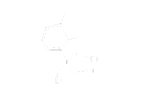 CCO[Si](OCC)(OCC)c1cccc(C)c1C